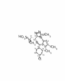 Cc1sc2c(c1C)C(c1ccc(Cl)cc1)=N[C@H](CN(C)S(=O)(=O)O)c1nnc(C)n1-2